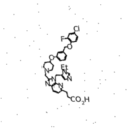 CCn1cncc1Cn1c(CN2CCC(Oc3cccc(COc4ccc(Cl)cc4F)c3)CC2)nc2ccc(CCC(=O)O)nc21